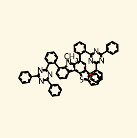 Cn1c2c(-c3ccccc3-c3nc(-c4ccccc4)nc(-c4ccccc4)n3)cccc2c2c3sc4ccccc4c3cc(-c3ccccc3-c3nc(-c4ccccc4)nc(-c4ccccc4)n3)c21